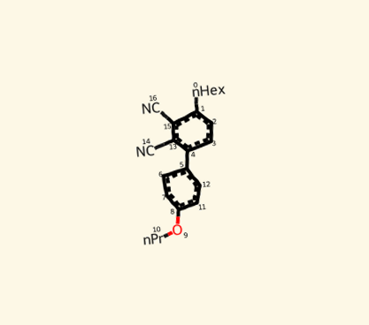 CCCCCCc1ccc(-c2ccc(OCCC)cc2)c(C#N)c1C#N